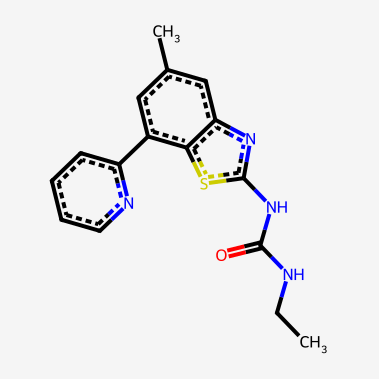 CCNC(=O)Nc1nc2cc(C)cc(-c3ccccn3)c2s1